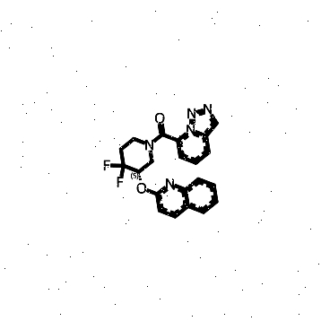 O=C(c1cccc2cnnn12)N1CCC(F)(F)[C@@H](Oc2ccc3ccccc3n2)C1